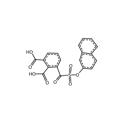 O=C(O)c1cccc(C(=O)S(=O)(=O)Oc2ccc3ccccc3c2)c1C(=O)O